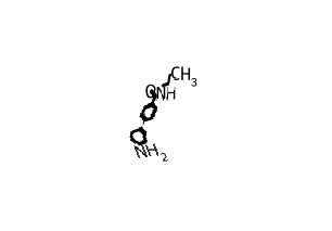 CCCCNC(=O)c1ccc([C@H]2CC[C@H](N)CC2)cc1